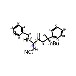 CCCCC(C)(CN/C(=N/C#N)NCc1cccnc1)c1ccccc1